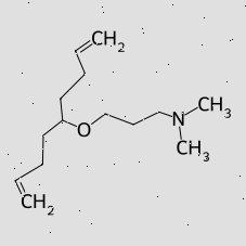 C=CCCC(CCC=C)OCCCN(C)C